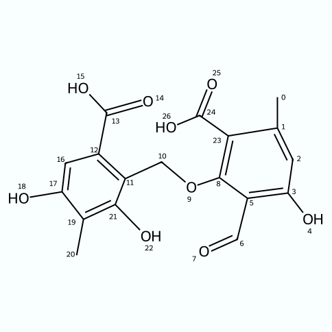 Cc1cc(O)c(C=O)c(OCc2c(C(=O)O)cc(O)c(C)c2O)c1C(=O)O